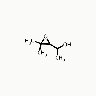 CC(O)C1OC1(C)C